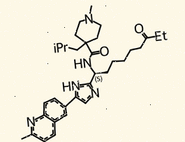 CCC(=O)CCCCC[C@H](NC(=O)C1(CC(C)C)CCN(C)CC1)c1ncc(-c2ccc3nc(C)ccc3c2)[nH]1